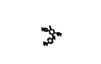 C=C1C=C(C(C)C)/C(=N/c2ccc(C(C)C)cc2)C=C1O